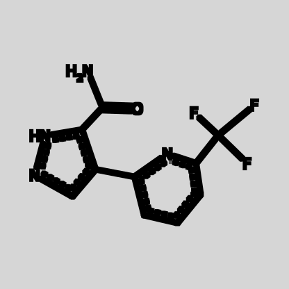 NC(=O)c1[nH]ncc1-c1cccc(C(F)(F)F)n1